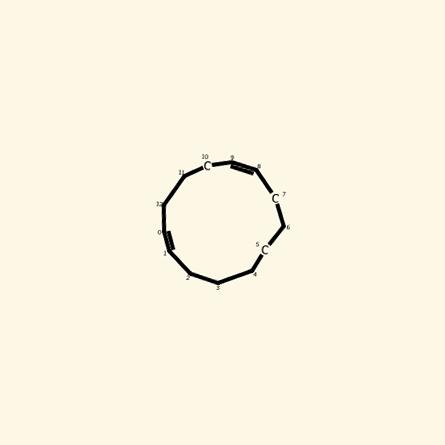 C1=CCCCCCCC=CCCC1